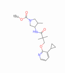 CC1CN(C(=O)OC(C)(C)C)CC1NC(=O)C(C)(C)COc1ncccc1C1CC1